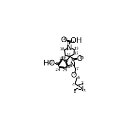 C[Si](C)(C)CCOCN1C(=O)C2(CCN(C(=O)O)CC2)c2cc(O)ccc21